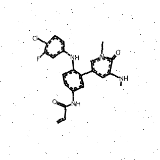 C=CC(=O)Nc1ccc(Nc2ccc(Cl)c(F)c2)c(-c2cc(NC)c(=O)n(C)c2)c1